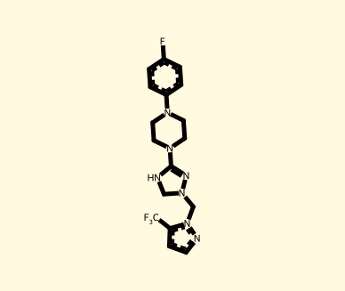 Fc1ccc(N2CCN(C3=NN(Cn4nccc4C(F)(F)F)CN3)CC2)cc1